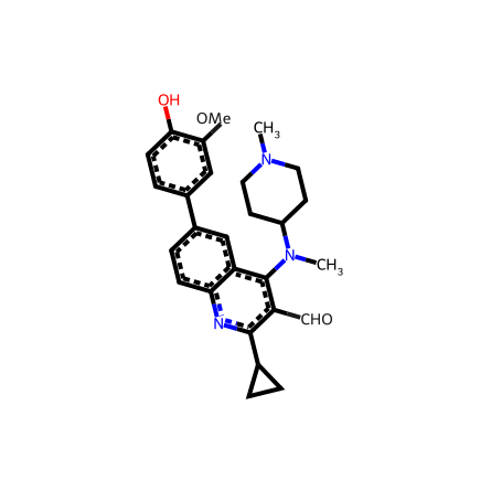 COc1cc(-c2ccc3nc(C4CC4)c(C=O)c(N(C)C4CCN(C)CC4)c3c2)ccc1O